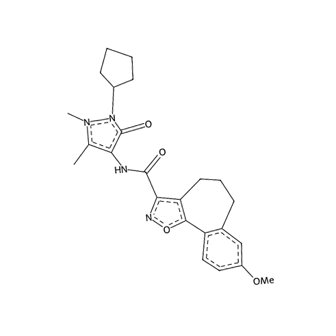 COc1ccc2c(c1)CCCc1c(C(=O)Nc3c(C)n(C)n(C4CCCC4)c3=O)noc1-2